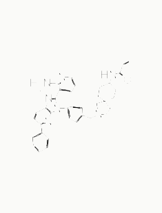 C=CC(=O)N[C@H]1CC[C@]2(CCN(Cc3ccc(-n4c(-c5cccnc5N)nc5ccc(-c6ccccc6)nc54)cc3)C2)CC1